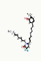 Cc1ccc(CCCCC/C=C/C2CC(F)(F)C(=O)N2CCCCCCC(=O)O)cc1O